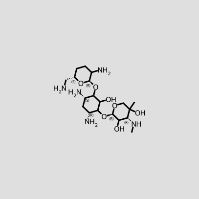 CN[C@@H]1C(O)[C@@H](OC2C(O)C(O[C@H]3O[C@H](CN)CCC3N)[C@@H](N)C[C@H]2N)OCC1(C)O